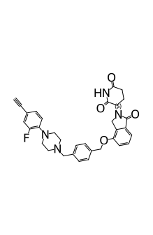 C#Cc1ccc(N2CCN(Cc3ccc(COc4cccc5c4CN([C@H]4CCC(=O)NC4=O)C5=O)cc3)CC2)c(F)c1